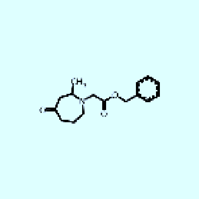 CC1CC(=O)CCCN1CC(=O)OCc1ccccc1